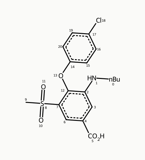 CCCCNc1cc(C(=O)O)cc(S(C)(=O)=O)c1Oc1ccc(Cl)cc1